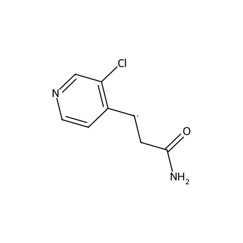 NC(=O)C[CH]c1ccncc1Cl